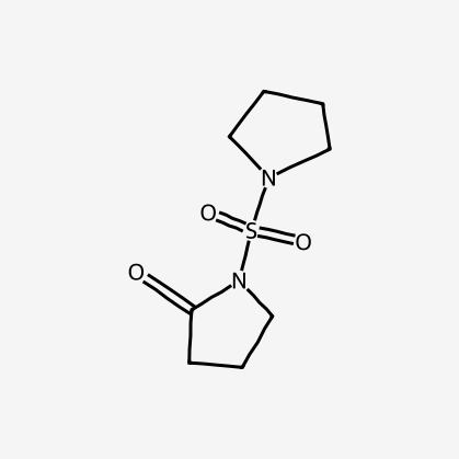 O=C1CCCN1S(=O)(=O)N1CCCC1